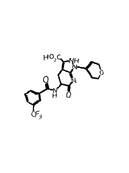 O=C(O)C1=C2CC(NC(=O)c3cccc(C(F)(F)F)c3)C(=O)N=C2N(C2CCOCC2)N1